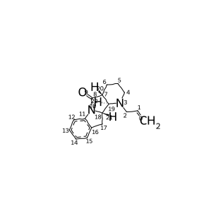 C=CCN1CCC[C@H]2C(=O)N3c4ccccc4C[C@H]3[C@@H]21